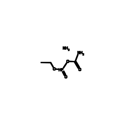 CCO[PH](=O)OC(N)=O.N